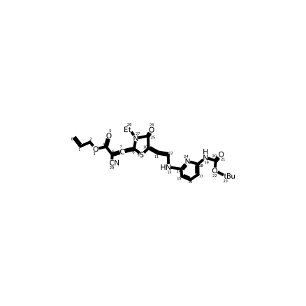 C=CCOC(=O)C(=C=c1sc(=C=CNc2cccc(NC(=O)OC(C)(C)C)n2)c(=O)n1CC)C#N